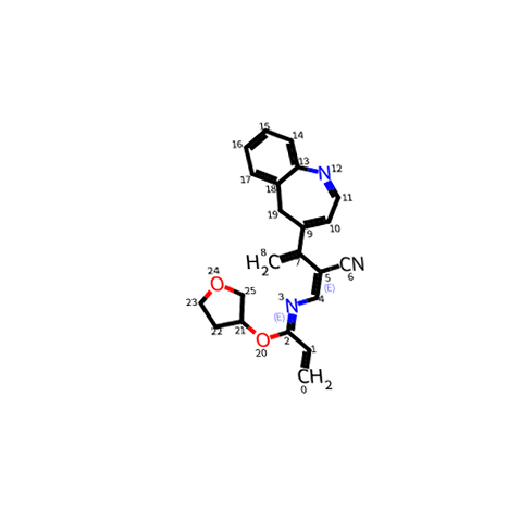 C=C/C(=N\C=C(\C#N)C(=C)C1=CC=Nc2ccccc2C1)OC1CCOC1